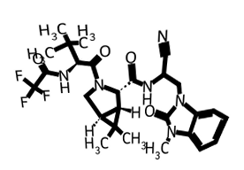 Cn1c(=O)n(CC(C#N)NC(=O)[C@@H]2[C@H]3[C@H](CN2C(=O)[C@@H](NC(=O)C(F)(F)F)C(C)(C)C)C3(C)C)c2ccccc21